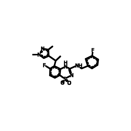 Cc1nn(C)cc1C(C)c1c(F)ccc2c1NC(NCc1cccc(F)c1)=NS2(=O)=O